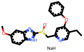 CCc1cnc(C[S+]([O-])c2nc3cc(OC)ccc3[nH]2)cc1Oc1ccccc1.[NaH]